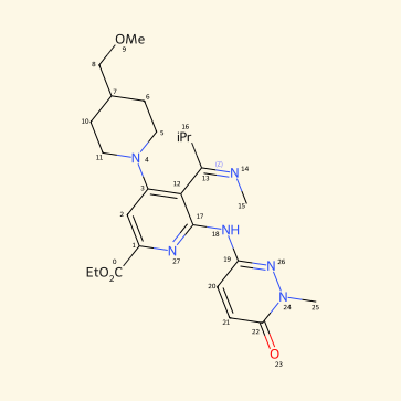 CCOC(=O)c1cc(N2CCC(COC)CC2)c(/C(=N\C)C(C)C)c(Nc2ccc(=O)n(C)n2)n1